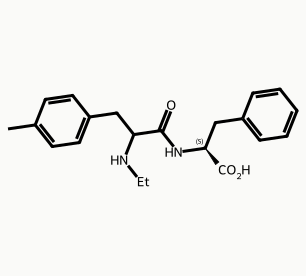 CCNC(Cc1ccc(C)cc1)C(=O)N[C@@H](Cc1ccccc1)C(=O)O